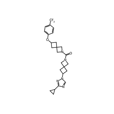 O=C(N1CC2(CC(Oc3ccc(C(F)(F)F)cc3)C2)C1)N1CC2(CC(n3cnc(C4CC4)n3)C2)C1